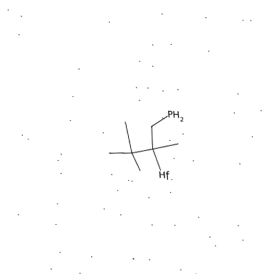 CC(C)(C)[C](C)([Hf])CP